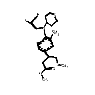 COCC(CC(=O)OC)c1ccc(N(CC(F)F)C2CCOCC2)c(N)c1